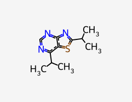 CC(C)c1nc2ncnc(C(C)C)c2s1